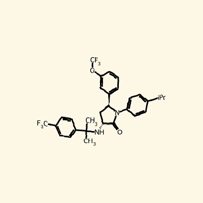 CC(C)c1ccc(N2C(=O)[C@H](NC(C)(C)c3ccc(C(F)(F)F)cc3)C[C@H]2c2cccc(OC(F)(F)F)c2)cc1